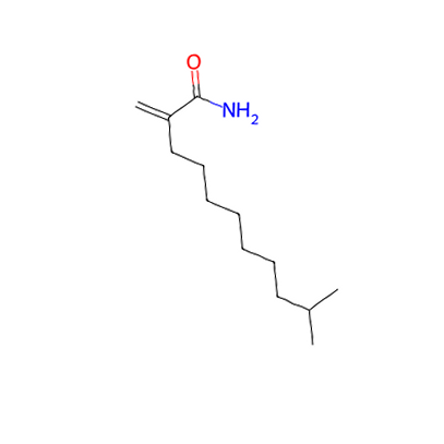 C=C(CCCCCCCC(C)C)C(N)=O